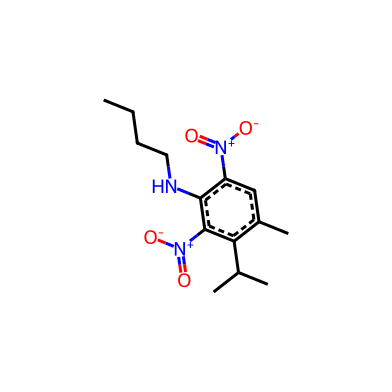 CCCCNc1c([N+](=O)[O-])cc(C)c(C(C)C)c1[N+](=O)[O-]